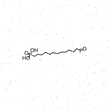 O=PCCCCCCCCCCCCP(=O)(O)O